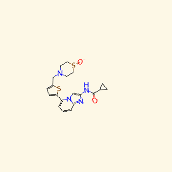 O=C(Nc1cn2c(-c3ccc(CN4CC[S+]([O-])CC4)s3)cccc2n1)C1CC1